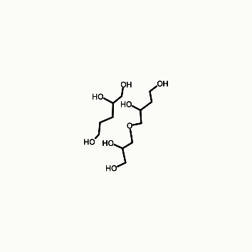 OCCC(O)COCC(O)CO.OCCCC(O)CO